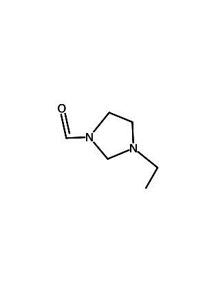 CCN1CCN(C=O)C1